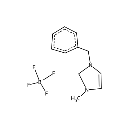 CN1C=CN(Cc2ccccc2)C1.F[B-](F)(F)F